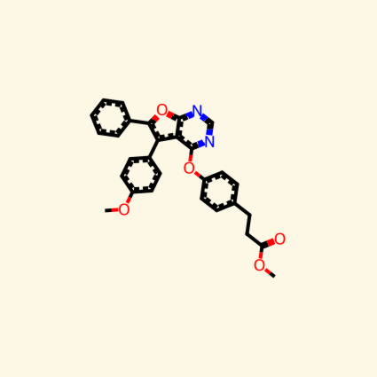 COC(=O)CCc1ccc(Oc2ncnc3oc(-c4ccccc4)c(-c4ccc(OC)cc4)c23)cc1